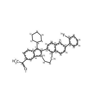 CC(=O)c1ccc2c(C3CCCCC3)c3n(c2c1)CCCc1c-3ccc2nc(-c3ccccc3F)ccc12